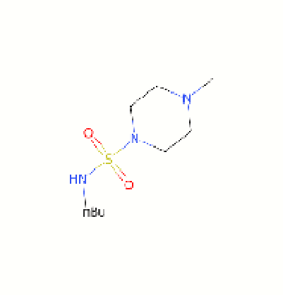 CCCCNS(=O)(=O)N1CCN(C)CC1